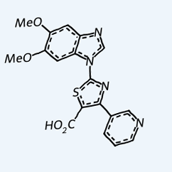 COc1cc2ncn(-c3nc(-c4cccnc4)c(C(=O)O)s3)c2cc1OC